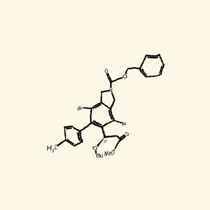 COC(=O)[C@@H](OC(C)(C)C)c1c(Br)c2c(c(Br)c1-c1ccc(C)cc1)CN(C(=O)OCc1ccccc1)C2